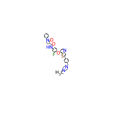 CN1CCN(Cc2ccc(-c3cc4nccc(Oc5ccc(NC(=O)C6CCN(c7ccccc7)C6=O)cc5F)c4s3)cc2)CC1